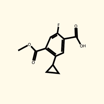 COC(=O)c1cc(F)c(C(=O)O)cc1C1CC1